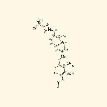 CCCc1ccc(COc2ccc3c(c2)CCC(CN2CC(C(=O)O)C2)=C3C)c(OC)c1O